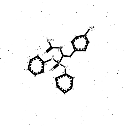 CNC(=O)NC(Cc1ccc(N)cc1)P(=O)(Oc1ccccc1)Oc1ccccc1